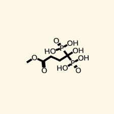 COC(=O)CCC(O)(P(=O)(O)O)P(=O)(O)O